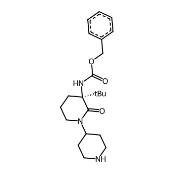 CC(C)(C)[C@@]1(NC(=O)OCc2ccccc2)CCCN(C2CCNCC2)C1=O